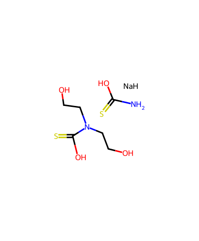 NC(O)=S.OCCN(CCO)C(O)=S.[NaH]